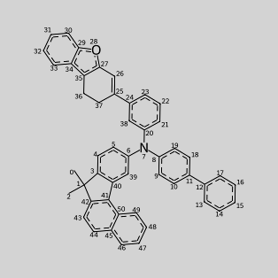 CC1(C)c2ccc(N(c3ccc(-c4ccccc4)cc3)c3cccc(C4=Cc5oc6ccccc6c5CC4)c3)cc2-c2c1ccc1ccccc21